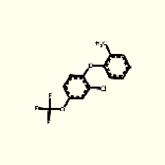 [CH2]c1ccccc1Oc1ccc(OC(F)(F)F)cc1Cl